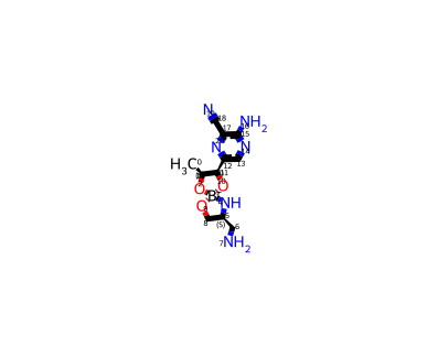 C[C@@H]1O[B-]2(N[C@@H](CN)CO2)O[C@@H]1c1cnc(N)c(C#N)n1